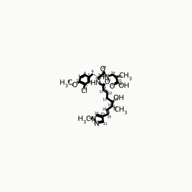 COc1ccc(C[C@@H](NC(=O)/C=C/C[C@H](O)[C@H](C)/C=C/c2cnn(C)c2)C(=O)NC[C@@H](C)C(=O)O)cc1Cl